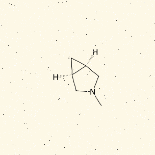 CN1C[C@H]2[CH][C@H]2C1